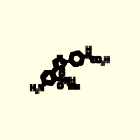 CC(C)(C)NS(=O)(=O)c1cc(N)ccc1-c1cnc([C@H]2CC[C@H](NC(=O)O)CC2)s1